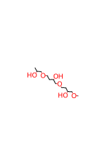 COCC(O)CCOCC(O)CCOCC(C)O